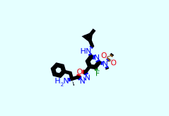 CC1CC1CNc1cc(-c2nnc([C@@](C)(N)Cc3ccccc3)o2)c(F)c(N(C)S(C)(=O)=O)n1